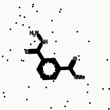 CNC(=O)c1cccc(C(=O)NN)c1